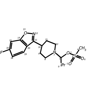 CC(C)C(OS(C)(=O)=O)N1CCC(c2noc3cc(F)ccc23)CC1